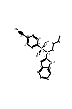 CCCCN(c1cc2ccccc2s1)S(=O)(=O)c1ccc(C#N)cc1